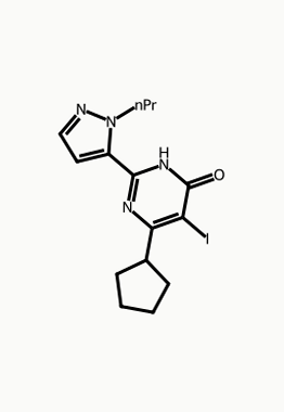 CCCn1nccc1-c1nc(C2CCCC2)c(I)c(=O)[nH]1